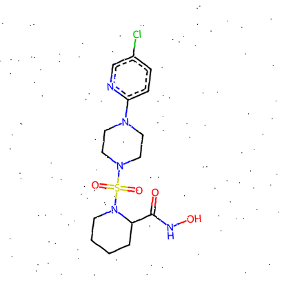 O=C(NO)C1CCCCN1S(=O)(=O)N1CCN(c2ccc(Cl)cn2)CC1